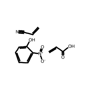 C=CC#N.C=CC(=O)O.O=[N+]([O-])c1ccccc1O